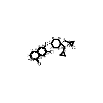 N[C@H](C1CC1)[C@]1(CC2CC2)CC[C@@H](Oc2cc3cc[nH]c(=O)c3cc2Cl)CC1